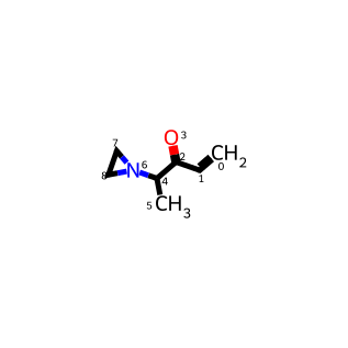 C=CC(=O)C(C)N1CC1